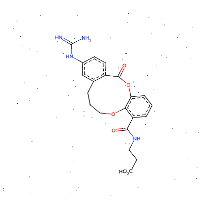 N=C(N)Nc1ccc2c(c1)CCCOc1c(cccc1C(=O)NCCC(=O)O)OC2=O